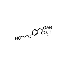 CO[C@@H](Cc1ccc(OCCCO)cc1)C(=O)O